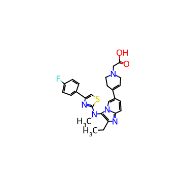 CCc1nc2ccc(C3=CCN(CC(=O)O)CC3)cn2c1N(C)c1nc(-c2ccc(F)cc2)cs1